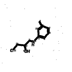 Cc1cccc(NCC(O)CCl)c1